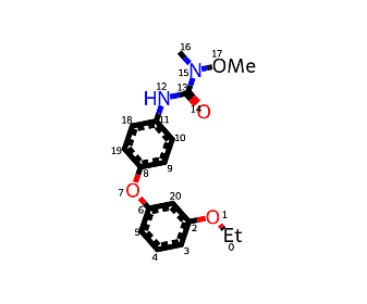 CCOc1cccc(Oc2ccc(NC(=O)N(C)OC)cc2)c1